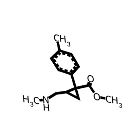 CNCC1CC1(C(=O)OC)c1ccc(C)cc1